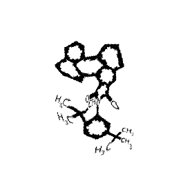 CC(C)(C)c1ccc(C(C)(C)C)c(-n2c(=O)c3cc4cccc5c6cccc7cccc(c76)c(c3c2=O)c45)c1